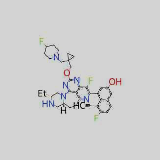 C#Cc1c(F)ccc2cc(O)cc(-c3nc4c5c(nc(OCC6(CN7CCC(F)CC7)CC6)nc5c3F)N3C[C@@H](CC)NC[C@H]3CC4)c12